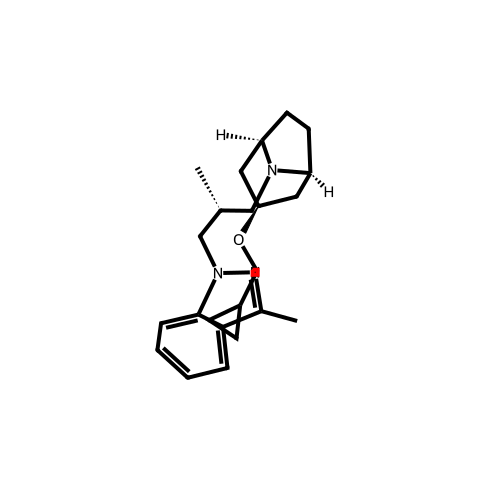 Cc1nn(C[C@H](C)CN2[C@@H]3CC[C@H]2C[C@@H](OCC2CC2)C3)c2ccccc12